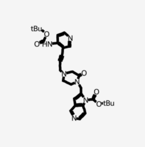 CC(C)(C)OC(=O)Nc1ccncc1C#CCN1CCN(Cc2cc3cnccc3n2C(=O)OC(C)(C)C)C(=O)C1